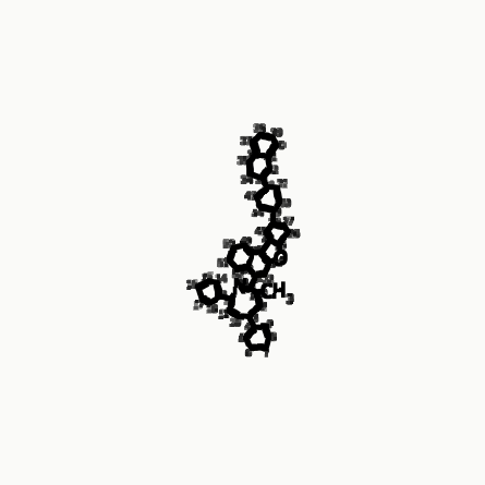 CC1=C=C(c2ccccc2)C=C=C(c2ccccc2)/N=C\1c1cc2oc3ccc(-c4ccc(-c5ccc6ccccc6c5)cc4)cc3c2c2ccccc12